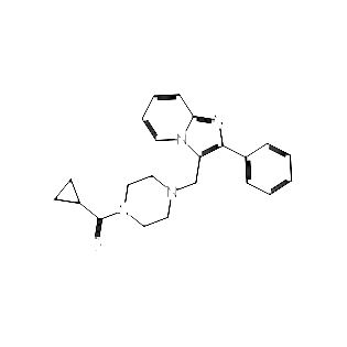 O=C(C1CC1)N1CCN(Cc2c(-c3ccccc3)nc3ccccn23)CC1